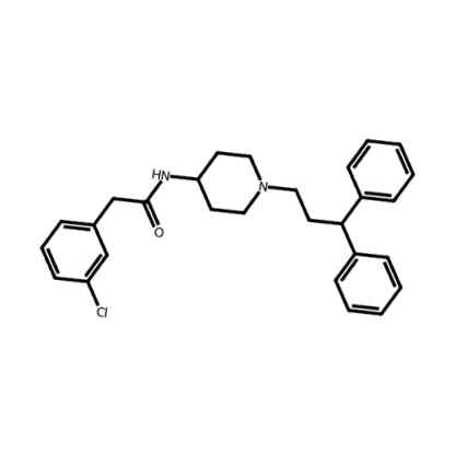 O=C(Cc1cccc(Cl)c1)NC1CCN(CCC(c2ccccc2)c2ccccc2)CC1